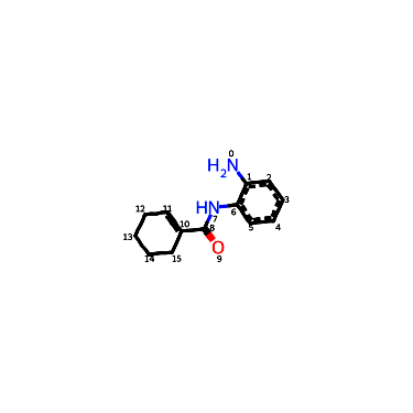 Nc1ccccc1NC(=O)C1=CCCCC1